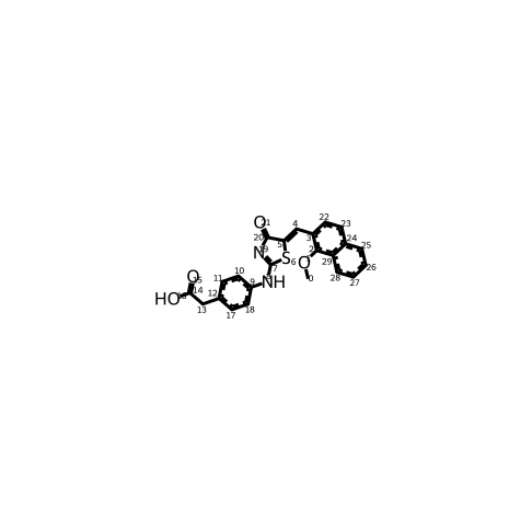 COc1c(C=C2SC(Nc3ccc(CC(=O)O)cc3)=NC2=O)ccc2ccccc12